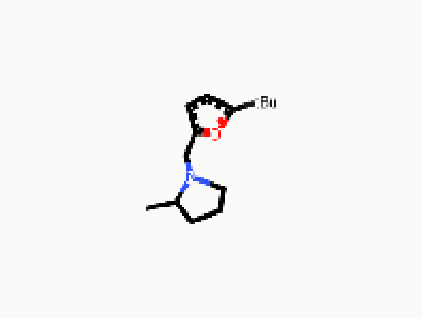 CC1CCCN1Cc1ccc(C(C)(C)C)o1